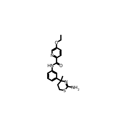 CCOc1ccc(C(=O)Nc2cccc(C3(C)CCSC(N)=N3)c2)nc1